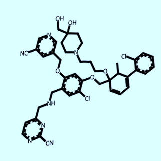 CC1C(c2ccccc2Cl)=CC=CC1(COc1cc(OCc2cncc(C#N)c2)c(CNCc2ccnc(C#N)n2)cc1Cl)OCCCN1CCC(O)(CO)CC1